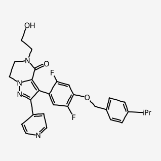 CC(C)c1ccc(COc2cc(F)c(-c3c(-c4ccncc4)nn4c3C(=O)N(CCO)CC4)cc2F)cc1